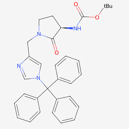 CC(C)(C)OC(=O)N[C@@H]1CCN(Cc2cn(C(c3ccccc3)(c3ccccc3)c3ccccc3)cn2)C1=O